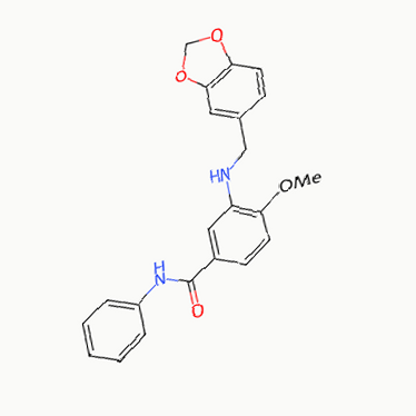 COc1ccc(C(=O)Nc2ccccc2)cc1NCc1ccc2c(c1)OCO2